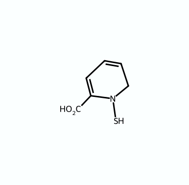 O=C(O)C1=CC=CCN1S